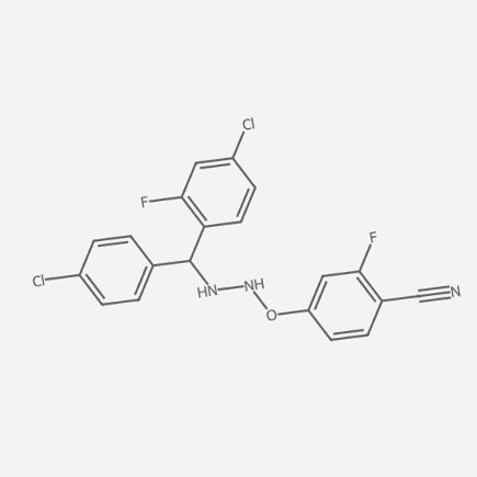 N#Cc1ccc(ONNC(c2ccc(Cl)cc2)c2ccc(Cl)cc2F)cc1F